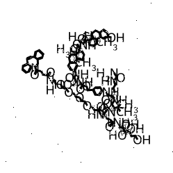 CC(C)[C@H](NC(=O)[C@@H](CCC(=O)NC[C@H](O)[C@@H](O)[C@H](O)CCO)NC(=O)CCOCCOCCOCCOCCNC(=O)CCC(=O)N1Cc2ccccc2C#Cc2ccccc21)C(=O)N[C@@H](CCCNC(N)=O)C(=O)Nc1ccc(COC(=O)N[C@@H](CO)C(=O)Nc2ccc3c(c2)[C@@]2(C)CCC[C@](C)(C(=O)NC(=O)[C@@]4(C)CCC[C@]5(C)c6cc(O)ccc6CC[C@@H]45)[C@@H]2CC3)cc1